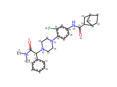 CCN(CC)C(=O)C(c1ccccc1)N1CCN(c2ccc(NC(=O)C3CC4CCC3C4)cc2F)CC1